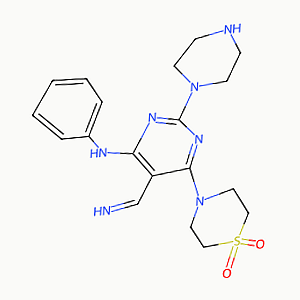 N=Cc1c(Nc2ccccc2)nc(N2CCNCC2)nc1N1CCS(=O)(=O)CC1